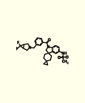 CS(=O)(=O)Nc1ccc2c(c1)C1(CCC3(CC3)CC1)CN2C(=O)c1cccc(CN2CC3C(C2)C3(F)F)c1